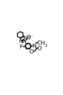 CCN1C(=O)COc2cc(F)c(-n3nc4c([n+]3[O-])CCCC4)cc21